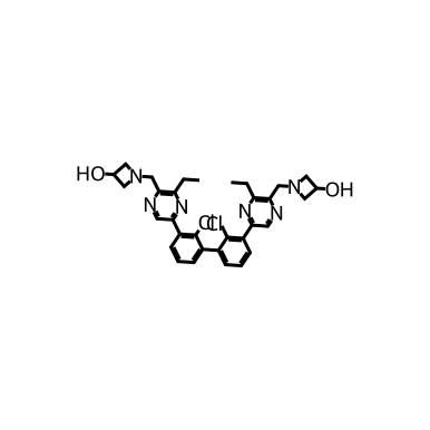 CCc1nc(-c2cccc(-c3cccc(-c4cnc(CN5CC(O)C5)c(CC)n4)c3Cl)c2Cl)cnc1CN1CC(O)C1